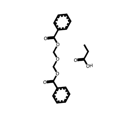 CCC(=O)O.O=C(OCOCOC(=O)c1ccccc1)c1ccccc1